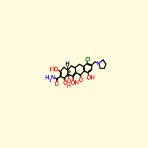 NC(=O)C1=C(O)C[C@@H]2CC3Cc4c(Cl)c(CN5CCCC5)cc(O)c4C(=O)C3=C(O)[C@]2(O)C1=O